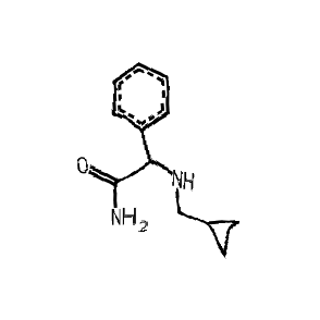 NC(=O)C(NCC1CC1)c1ccccc1